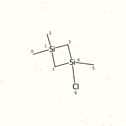 C[Si]1(C)C[Si](C)(Cl)C1